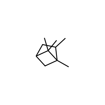 CC1CC2CC1(C)C2(C)C